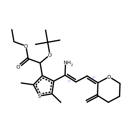 C=C1CCCO/C1=C/C=C(\N)c1c(C)sc(C)c1C(OC(C)(C)C)C(=O)OCC